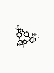 NCC(c1ccc(C(F)(F)F)cc1)n1cc(-c2ccnc(N)c2-c2ccc(Cl)cc2)cn1